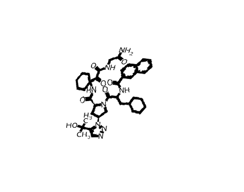 CC(C)(O)c1cnnn1[C@H]1C[C@@H](C(=O)NC2(C(=O)C(=O)NCC(N)=O)CCCCC2)N(C(=O)C(CC2CCCCC2)NC(=O)c2ccc3ccccc3c2)C1